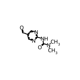 CN(C)C(=O)Nc1ncc(C=O)cn1